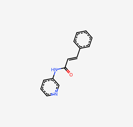 O=C(/C=C/c1ccccc1)Nc1cccnc1